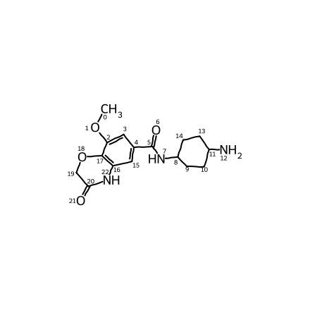 COc1cc(C(=O)NC2CCC(N)CC2)cc2c1OCC(=O)N2